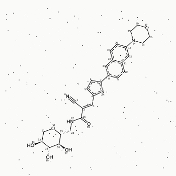 N#C/C(=C\c1ccc(-c2ccc3cc(N4CCOCC4)ccc3c2)s1)C(=O)NC[C@H]1OC[C@H](O)[C@@H](O)[C@@H]1O